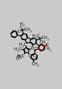 CC1=C(C)C(C)[C]([Zr+2](=[C](c2ccc(C)cc2)c2ccc(C)cc2)[c]2c3c(cc(C(C)(C)C)c2-c2ccccc2)-c2cc(C(C)(C)C)c(-c4ccccc4)cc2C3)=C1C.[Cl-].[Cl-]